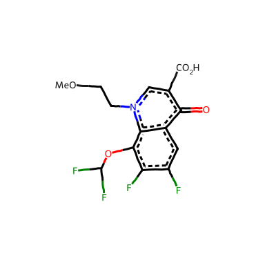 COCCn1cc(C(=O)O)c(=O)c2cc(F)c(F)c(OC(F)F)c21